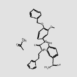 CC(=O)O.COc1cc([C@@H](Nc2ccc(C(=N)N)cc2)C(=O)NCCc2ccccc2)ccc1OCc1ccccc1